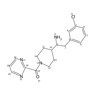 NC(Cc1cccc(Cl)c1)C1CCN(C(=O)c2ncccn2)CC1